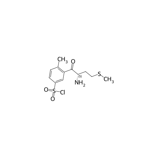 CSCC[C@H](N)C(=O)c1cc(S(=O)(=O)Cl)ccc1C